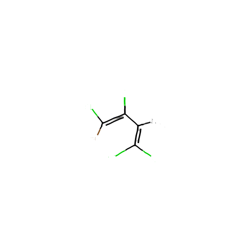 O=[N+]([O-])C(=C(Cl)Cl)/C(Cl)=C(/Cl)Br